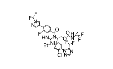 CCNC(=N)N(C(=O)c1ccc(-c2cnn(C(F)F)c2)c(F)c1)[C@H](COC(=O)N[C@H]1CC1(F)F)c1ccc(Cl)c(-n2ncnc2C(F)F)c1